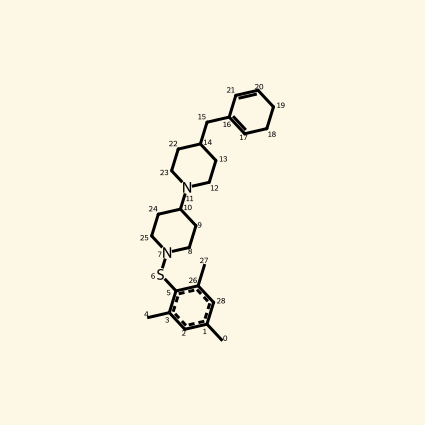 Cc1cc(C)c(SN2CCC(N3CCC(CC4=CCCC=C4)CC3)CC2)c(C)c1